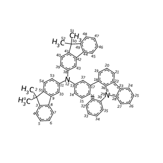 CC1(C)c2ccccc2-c2cc(N(c3cccc(-c4cccc5c6ccccc6n(-c6ccccc6)c45)c3)c3ccc4c(c3)-c3ccccc3C4(C)C)ccc21